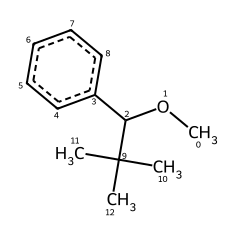 COC(c1ccccc1)C(C)(C)C